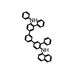 c1ccc(Nc2ccc(-c3cccc(-c4ccc(Nc5cccc6ccccc56)c(-c5ccccc5)c4)c3)cc2-c2ccccc2)cc1